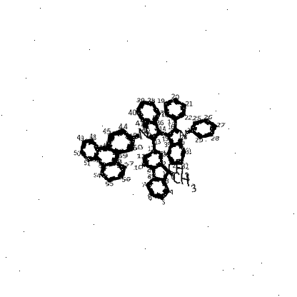 CC1(C)c2ccccc2-c2ccc(-c3c(-c4c(-c5ccccc5)n(-c5ccccc5)c5ccccc45)c4ccccc4n3-c3ccc4c5ccccc5c5ccccc5c4c3)cc21